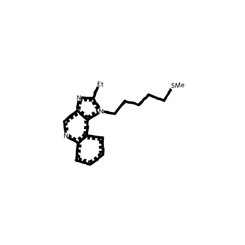 CCc1nc2cnc3ccccc3c2n1CCCCCSC